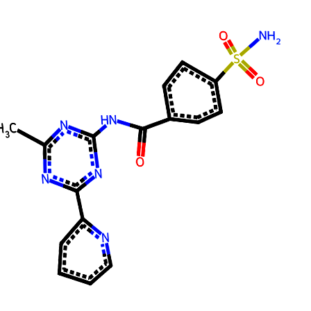 Cc1nc(NC(=O)c2ccc(S(N)(=O)=O)cc2)nc(-c2ccccn2)n1